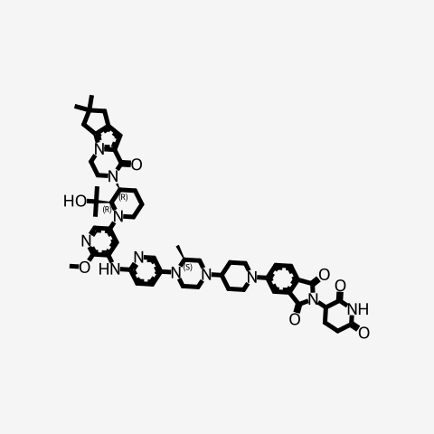 COc1ncc(N2CCC[C@@H](N3CCn4c(cc5c4CC(C)(C)C5)C3=O)[C@@H]2C(C)(C)O)cc1Nc1ccc(N2CCN(C3CCN(c4ccc5c(c4)C(=O)N(C4CCC(=O)NC4=O)C5=O)CC3)C[C@@H]2C)cn1